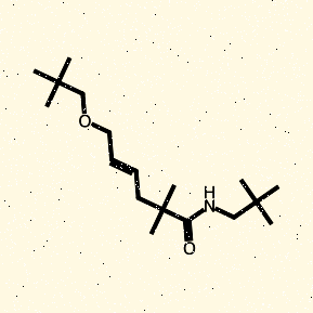 CC(C)(C)CNC(=O)C(C)(C)CC=CCOCC(C)(C)C